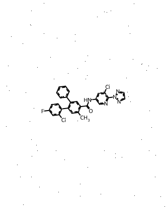 Cc1cc(-c2ccc(F)cc2Cl)c(-c2ccccc2)cc1C(=O)Nc1cnc(-n2nccn2)c(Cl)c1